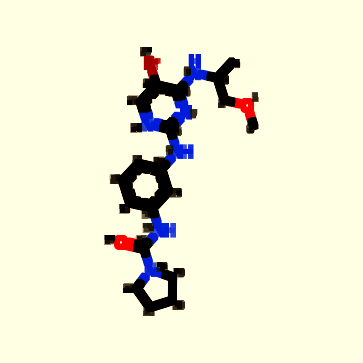 COCC(C)Nc1nc(Nc2cccc(NC(=O)N3CCCC3)c2)ncc1Br